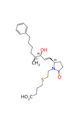 C[C@@H](CCCCc1ccccc1)[C@@H](O)C=C[C@H]1CCC(=O)N1CCSCCCC(=O)O